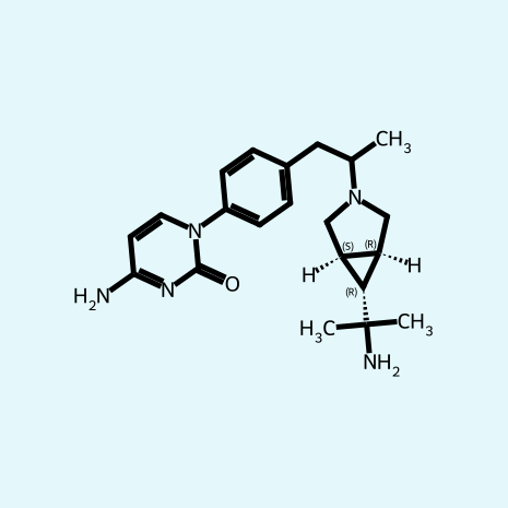 CC(Cc1ccc(-n2ccc(N)nc2=O)cc1)N1C[C@@H]2[C@H](C1)[C@H]2C(C)(C)N